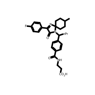 CCCC(c1ccc(C(=O)NCCC(=O)O)cc1)N1C(=O)C(c2ccc(F)cc2)=NC12CCC(C)CC2